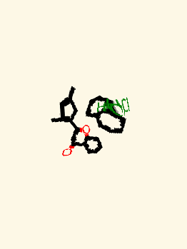 CC1=CC(C)=C(c2cc(=O)c3ccccc3o2)C1.Cl.Cl.c1ccc2ccccc2c1